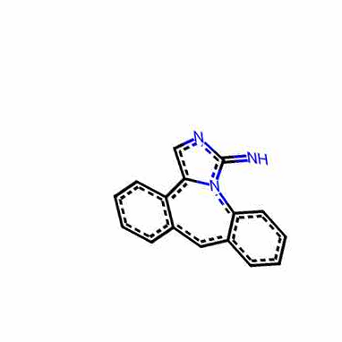 N=c1ncc2c3ccccc3cc3ccccc3n1-2